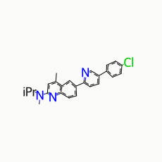 Cc1cc(N(C)C(C)C)nc2ccc(-c3ccc(-c4ccc(Cl)cc4)cn3)cc12